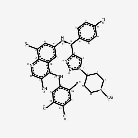 CC(C)(C)N1CCC(n2cc([C@@H](Nc3cc(Cl)c4ncc(C#N)c(Nc5cc(Cl)c(Cl)cc5F)c4c3)c3ccc(Cl)cc3)nn2)CC1